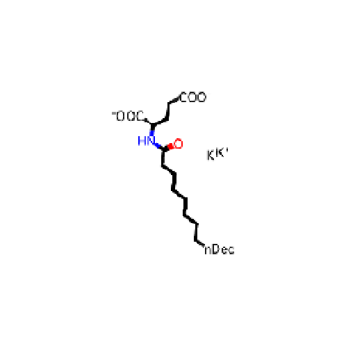 CCCCCCCCCCCCCCCCCC(=O)N[C@H](CCC(=O)[O-])C(=O)[O-].[K+].[K+]